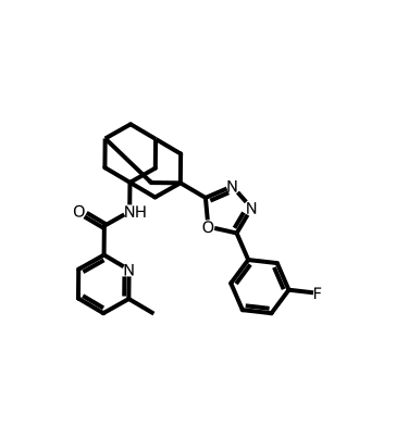 Cc1cccc(C(=O)NC23CC4CC(C2)CC(c2nnc(-c5cccc(F)c5)o2)(C4)C3)n1